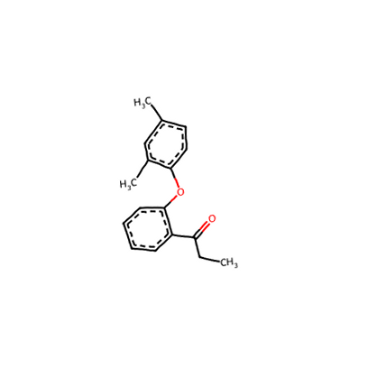 CCC(=O)c1ccccc1Oc1ccc(C)cc1C